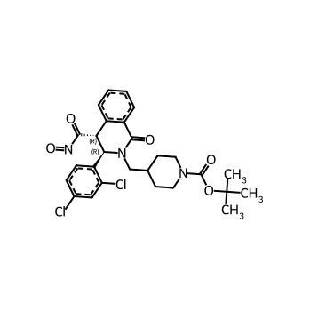 CC(C)(C)OC(=O)N1CCC(CN2C(=O)c3ccccc3[C@@H](C(=O)N=O)[C@@H]2c2ccc(Cl)cc2Cl)CC1